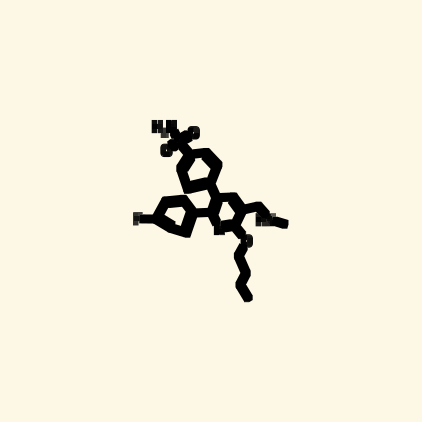 CCCCOc1nc(-c2ccc(F)cc2)c(-c2ccc(S(N)(=O)=O)cc2)cc1CNC